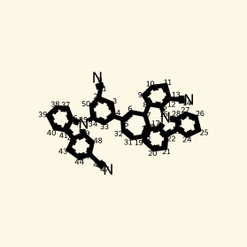 N#Cc1cc(C2=CC(c3cccc(C#N)c3-n3c4ccccc4c4ccccc43)C#CC=C2)cc(-n2c3ccccc3c3ccc(C#N)cc32)c1